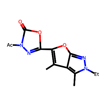 CCn1nc2oc(-c3nn(C(C)=O)c(=O)o3)c(C)c2c1C